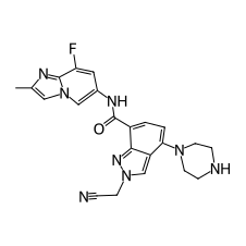 Cc1cn2cc(NC(=O)c3ccc(N4CCNCC4)c4cn(CC#N)nc34)cc(F)c2n1